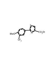 CCOC(=O)c1csc(-c2ccc(OC)c(C(F)(F)F)c2)n1